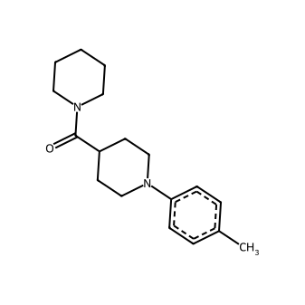 Cc1ccc(N2CCC(C(=O)N3CCCCC3)CC2)cc1